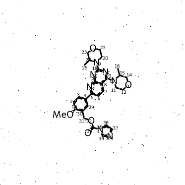 COc1ccc(-c2ccc3c(N4CCOCC4C)nc(N4CCOCC4C)nc3n2)cc1COC(=O)n1ccnc1